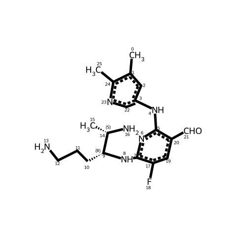 Cc1cc(Nc2nc(N[C@H](CCCN)[C@H](C)N)c(F)cc2C=O)cnc1C